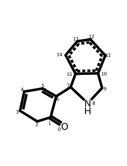 O=C1CC=C[C]=C1C1NCc2ccccc21